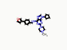 CN1CCN(c2nc(NCc3ccc(-c4ccoc4)cc3)c3ncn(C4CCCC4)c3n2)CC1